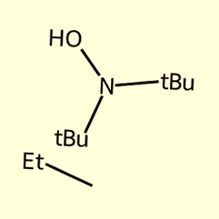 CC(C)(C)N(O)C(C)(C)C.CCC